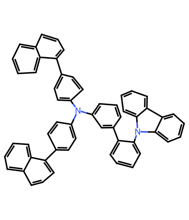 c1cc(-c2ccccc2-n2c3ccccc3c3ccccc32)cc(N(c2ccc(-c3cccc4ccccc34)cc2)c2ccc(-c3cccc4ccccc34)cc2)c1